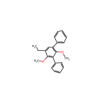 CCc1[c]c(-c2ccccc2)c(OC)c(-c2ccccc2)c1OC